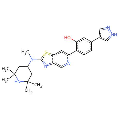 CN(c1nc2cnc(-c3ccc(-c4cn[nH]c4)cc3O)cc2s1)C1CC(C)(C)NC(C)(C)C1